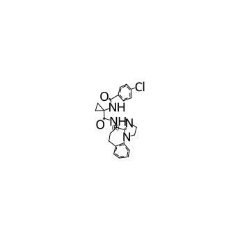 O=C(NC1(C(=O)N[C@@H]2CCc3ccccc3N3CCN=C23)CC1)c1ccc(Cl)cc1